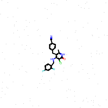 Cc1[nH]c(=O)c(Cl)c(NCc2ccc(F)cc2F)c1Cc1ccc(C#N)cc1